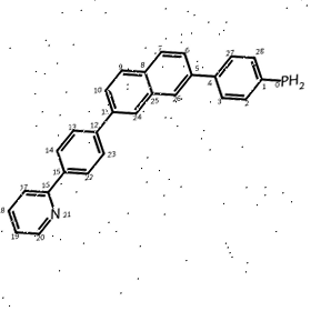 Pc1ccc(-c2ccc3ccc(-c4ccc(-c5ccccn5)cc4)cc3c2)cc1